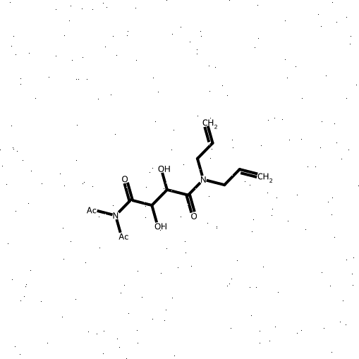 C=CCN(CC=C)C(=O)C(O)C(O)C(=O)N(C(C)=O)C(C)=O